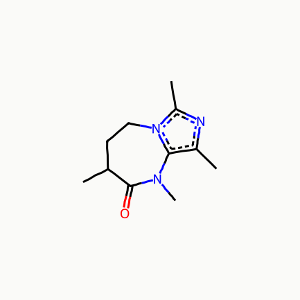 Cc1nc(C)n2c1N(C)C(=O)C(C)CC2